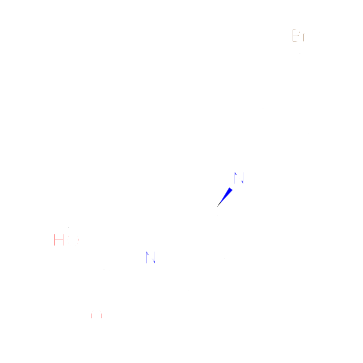 O=C(O)N1CC[C@H](n2ccc3c(Br)cccc32)C1